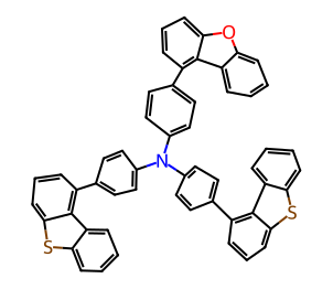 c1ccc2c(c1)oc1cccc(-c3ccc(N(c4ccc(-c5cccc6sc7ccccc7c56)cc4)c4ccc(-c5cccc6sc7ccccc7c56)cc4)cc3)c12